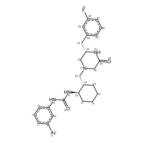 CC(=O)c1cccc(NC(=O)N[C@@H]2CCCC[C@H]2CN2CC(=O)N[C@@H](Cc3cccc(F)c3)C2)c1